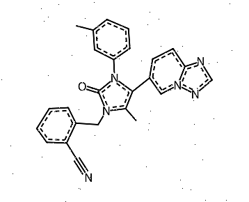 Cc1cccc(-n2c(-c3ccc4ncnn4c3)c(C)n(Cc3ccccc3C#N)c2=O)c1